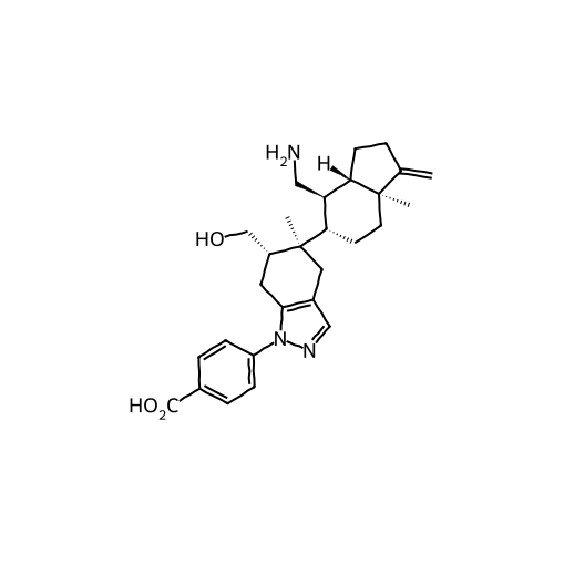 C=C1CC[C@H]2[C@H](CN)[C@@H]([C@@]3(C)Cc4cnn(-c5ccc(C(=O)O)cc5)c4C[C@@H]3CO)CC[C@]12C